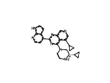 c1cc(-c2nc(N3CCN[C@@H](C4CC4)C3)c3c(C4CC4)cncc3n2)c2cc[nH]c2n1